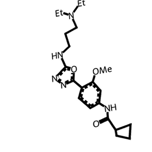 CCN(CC)CCCNc1nnc(-c2ccc(NC(=O)C3CCC3)cc2OC)o1